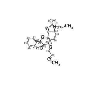 CC=Cn1c(C)nc2c3c(ccc21)[C@@H](OCCOC)[C@H](O)[C@@H](c1ccccc1)O3